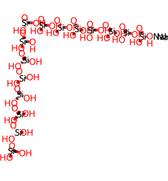 O=[Si](O)O.O=[Si](O)O.O=[Si](O)O.O=[Si](O)O.O=[Si](O)O.O=[Si](O)O.O=[Si](O)O.O=[Si](O)O.O=[Si](O)O.O=[Si](O)O.O=[Si](O)O.O=[Si](O)O.O=[Si](O)O.O=[Si](O)O.O=[Si](O)O.[NaH].[NaH]